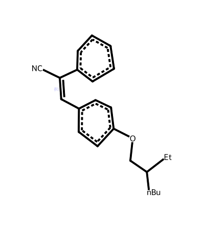 CCCCC(CC)COc1ccc(/C=C(/C#N)c2ccccc2)cc1